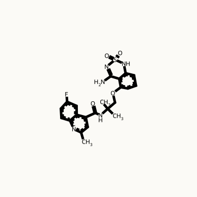 Cc1cc(C(=O)NC(C)(C)COc2cccc3c2C(N)=NS(=O)(=O)N3)c2cc(F)ccc2n1